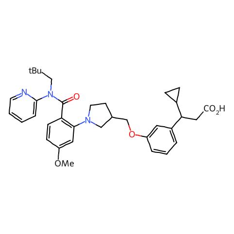 COc1ccc(C(=O)N(CC(C)(C)C)c2ccccn2)c(N2CCC(COc3cccc(C(CC(=O)O)C4CC4)c3)C2)c1